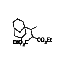 CCOC(=O)C(C(=O)OCC)C(C)C12CCCC(CC(C)C1)C2